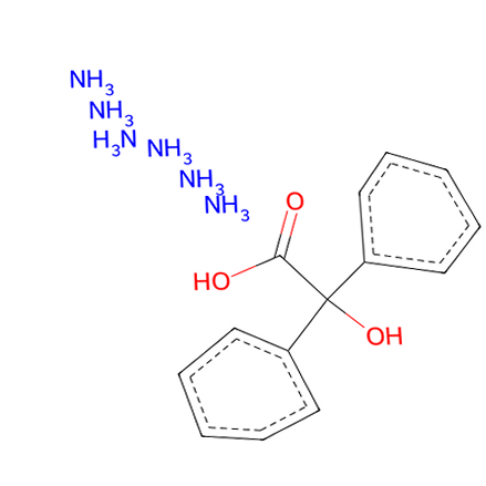 N.N.N.N.N.N.O=C(O)C(O)(c1ccccc1)c1ccccc1